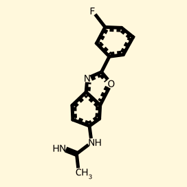 CC(=N)Nc1ccc2nc(-c3cccc(F)c3)oc2c1